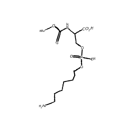 CC(C)(C)OC(=O)NC(COP(=O)(O)OCCCCCCN)C(=O)O